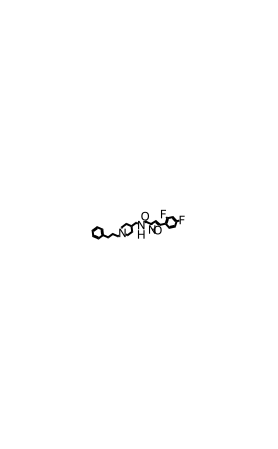 O=C(NCC1CCN(CCCc2ccccc2)CC1)c1cc(-c2ccc(F)cc2F)on1